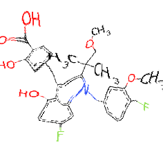 COCC(C)(C)c1c(-c2ccc(C(=O)O)c(O)c2)c2c(O)cc(F)cc2n1-c1ccc(F)c(OC)c1